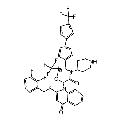 O=C(C(OC(=O)C(F)(F)F)n1c(SCc2cccc(F)c2F)cc(=O)c2ccccc21)N(Cc1ccc(-c2ccc(C(F)(F)F)cc2)cc1)C1CCNCC1